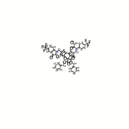 Cc1cc(C(F)(F)F)ccc1/C(=C/c1nc2c(s1)-c1sc(/C=C3\C(=O)C(=O)c4cc(C(F)(F)F)ccc43)nc1OC2(C(=O)OCc1ccccc1)C(=O)OCc1ccccc1)C(=O)C=O